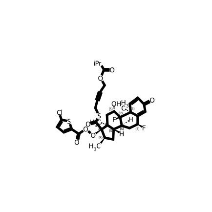 CC(C)C(=O)OCC#CCSC(=O)[C@@]1(OOC(=O)c2ccc(Cl)s2)[C@H](C)C[C@H]2[C@@H]3C[C@H](F)C4=CC(=O)C=C[C@]4(C)[C@@]3(F)[C@@H](O)C[C@@]21C